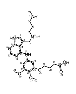 CNCCCN(C)Cc1c[nH]c2ncnc(Nc3cc(OC)c(OC)c(OCCCC(=O)O)c3)c12